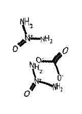 N[N+](N)=O.N[N+](N)=O.O=C([O-])[O-]